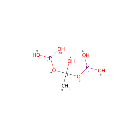 CC(O)(OP(O)O)OP(O)O